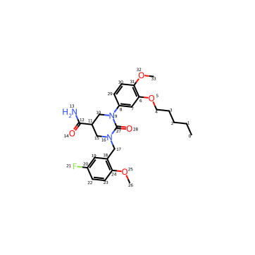 CCCCCOc1cc(N2CC(C(N)=O)CN(Cc3cc(F)ccc3OC)C2=O)ccc1OC